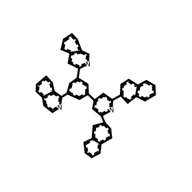 c1ccc2cc(-c3cc(-c4cc(-c5cc6ccccc6cn5)cc(-c5nccc6ccccc56)c4)cc(-c4ccc5ccccc5c4)n3)ccc2c1